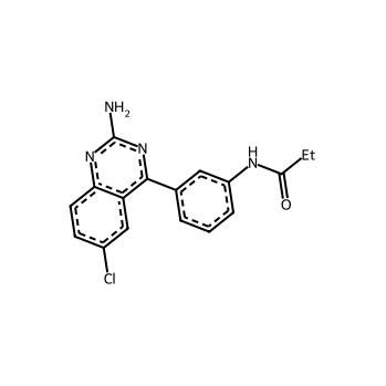 CCC(=O)Nc1cccc(-c2nc(N)nc3ccc(Cl)cc23)c1